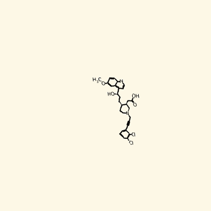 COc1ccc2nccc([C@H](O)CC[C@@H]3CCN(CC#Cc4cccc(Cl)c4Cl)C[C@@H]3CC(=O)O)c2c1